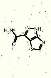 NC(=O)c1n[nH]c2ncsc12